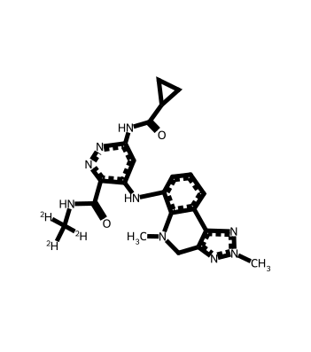 [2H]C([2H])([2H])NC(=O)c1nnc(NC(=O)C2CC2)cc1Nc1cccc2c1N(C)Cc1nn(C)nc1-2